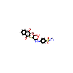 CNS(=O)(=O)c1ccc(NC(=O)CC(SC2=CC(=O)c3ccccc3C2=O)C(=O)O)cc1